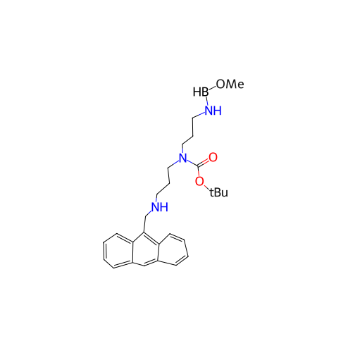 COBNCCCN(CCCNCc1c2ccccc2cc2ccccc12)C(=O)OC(C)(C)C